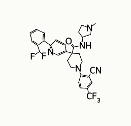 CN1CC[C@H](NC(=O)C2(c3ccc(-c4ccccc4C(F)F)nc3)CCN(c3ccc(C(F)(F)F)cc3C#N)CC2)C1